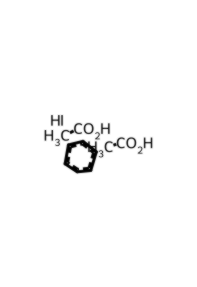 CC(=O)O.CC(=O)O.I.c1ccccc1